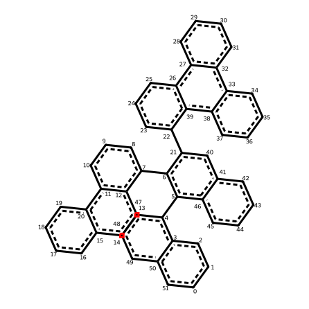 c1ccc2c(-c3c(-c4cccc5c4ccc4ccccc45)c(-c4cccc5c6ccccc6c6ccccc6c45)cc4ccccc34)cccc2c1